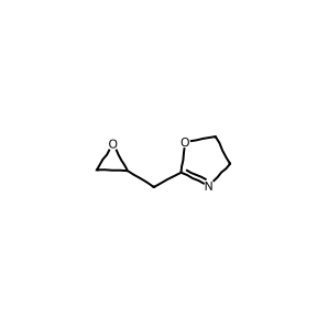 C1COC(CC2CO2)=N1